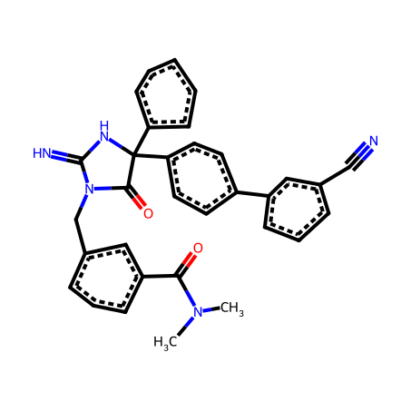 CN(C)C(=O)c1cccc(CN2C(=N)NC(c3ccccc3)(c3ccc(-c4cccc(C#N)c4)cc3)C2=O)c1